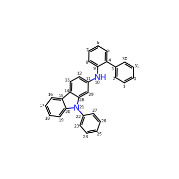 c1ccc(-c2ccccc2Nc2ccc3c4ccccc4n(-c4ccccc4)c3c2)cc1